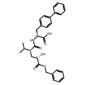 CC(C)N(C[C@H](O)C(=O)OCc1ccccc1)C(=O)N[C@@H](Cc1ccc(-c2ccccc2)cc1)C(=O)O